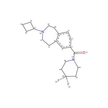 O=C(c1ccc2c(c1)CCN(C1CCC1)CC2)N1CCC(F)(F)CC1